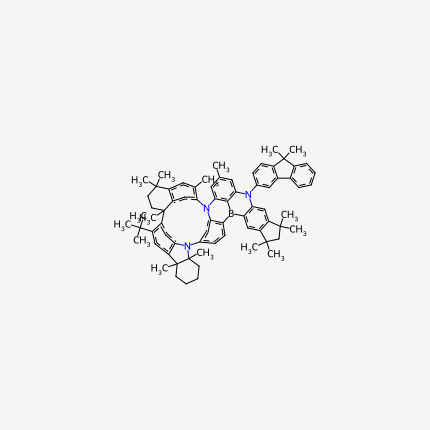 Cc1cc2c3c(c1)N1c4cc5c(cc4C)C(C)(C)CCC5(C)c4cc5c(cc4C(C)(C)C)C4(C)CCCCC4(C)N5c4ccc(c1c4)B3c1cc3c(cc1N2c1ccc2c(c1)-c1ccccc1C2(C)C)C(C)(C)CC3(C)C